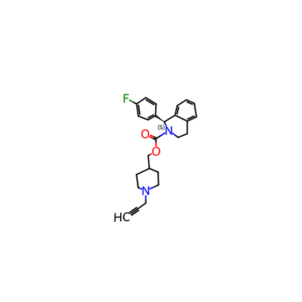 C#CCN1CCC(COC(=O)N2CCc3ccccc3[C@@H]2c2ccc(F)cc2)CC1